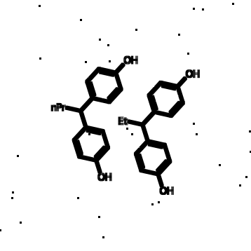 CCC(c1ccc(O)cc1)c1ccc(O)cc1.CCCC(c1ccc(O)cc1)c1ccc(O)cc1